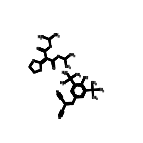 CC(C)(C)c1cc(C=C(C#N)C#N)cc(C(C)(C)C)c1O.CC(C)OC(=O)C(C(=O)OC(C)C)=C1SCCS1